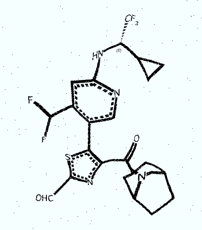 O=Cc1nc(C(=O)N2C3CCC2CC3)c(-c2cnc(N[C@@H](C3CC3)C(F)(F)F)cc2C(F)F)s1